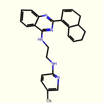 N#Cc1ccc(NCCNc2nc(C3=C4C=CCCC4CC=C3)nc3ccccc23)nc1